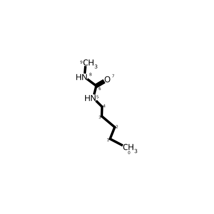 CCCCCNC(=O)NC